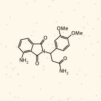 COc1ccc(C(CC(N)=O)N2C(=O)c3cccc(N)c3C2=O)cc1OC